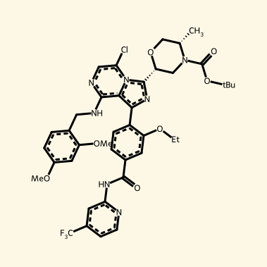 CCOc1cc(C(=O)Nc2cc(C(F)(F)F)ccn2)ccc1-c1nc([C@H]2CN(C(=O)OC(C)(C)C)[C@@H](C)CO2)n2c(Cl)cnc(NCc3ccc(OC)cc3OC)c12